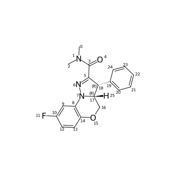 CN(C)C(=O)C1=NN2c3cc(F)ccc3OC[C@H]2[C@H]1c1ccccc1